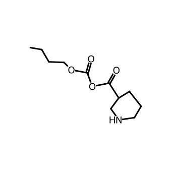 CCCCOC(=O)OC(=O)C1CCCNC1